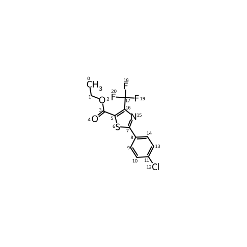 CCOC(=O)c1sc(-c2ccc(Cl)cc2)nc1C(F)(F)F